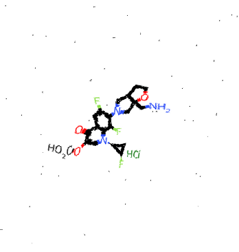 Cl.NCC12CN(c3c(F)cc4c(=O)c(OC(=O)O)cn([C@@H]5C[C@@H]5F)c4c3F)CC1CCO2